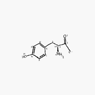 [CH2]C(=O)[C@@H](N)Cc1ccc(O)cc1